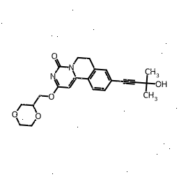 CC(C)(O)C#Cc1ccc2c(c1)CCn1c-2cc(OCC2COCCO2)nc1=O